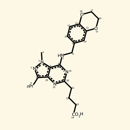 CCCc1nn(C)c2c(NCc3ccc4c(c3)OCCO4)nc(CCCC(=O)O)nc12